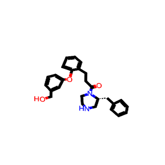 O=C(CCc1ccccc1Oc1cccc(CO)c1)N1CCNC[C@H]1Cc1ccccc1